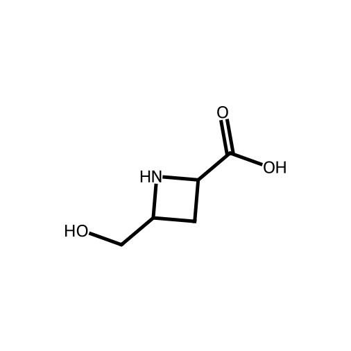 O=C(O)C1CC(CO)N1